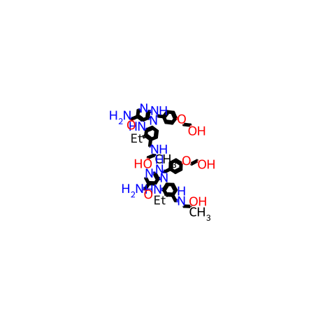 CCc1c(CNC(C)CO)cccc1Nc1c(C(N)=O)cnc2[nH]c(-c3ccc(OCCO)cc3)nc12.CCc1c(CNCC(C)O)cccc1Nc1c(C(N)=O)cnc2[nH]c(-c3ccc(OCCO)cc3)nc12